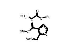 CCC(C)OC(=O)CC(=O)O.CNCc1sccc1C(=O)OC(C)(C)C